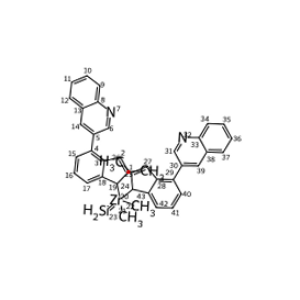 CC1=Cc2c(-c3cnc4ccccc4c3)cccc2[CH]1[Zr]([CH3])([CH3])(=[SiH2])[CH]1C(C)=Cc2c(-c3cnc4ccccc4c3)cccc21